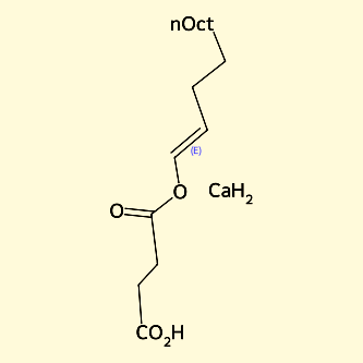 CCCCCCCCCC/C=C/OC(=O)CCC(=O)O.[CaH2]